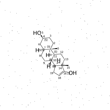 C[C@]12CC[C@H](O)C[C@@H]1CC[C@@H]1[C@@H]2CC[C@]2(C)C(O)=CC[C@@H]12